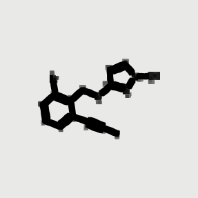 CC#Cc1cccc(Br)c1COc1ccn(O)n1